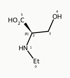 CCN[C@H](CO)C(=O)O